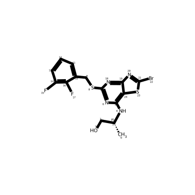 C[C@H](CO)Nc1nc(SCc2cccc(F)c2F)nc2nc(Br)sc12